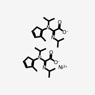 CC1=C(N(C(=NC(C)C)C(=O)[O-])C(C)C)CC=C1.CC1=C(N(C(=NC(C)C)C(=O)[O-])C(C)C)CC=C1.[Ni+2]